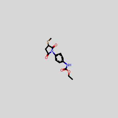 CCOC(=O)Nc1ccc(N2C(=O)CC(SC)C2=O)cc1